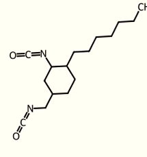 CCCCCCCC1CCC(CN=C=O)CC1N=C=O